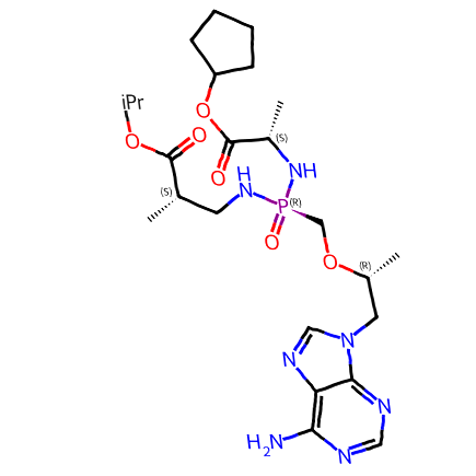 CC(C)OC(=O)[C@@H](C)CN[P@](=O)(CO[C@H](C)Cn1cnc2c(N)ncnc21)N[C@@H](C)C(=O)OC1CCCC1